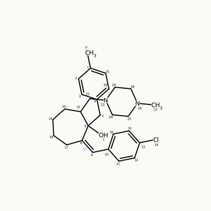 Cc1ccc(CC2(O)/C(=C\c3ccc(Cl)cc3)CCCCC2CN2CCN(C)CC2)cc1